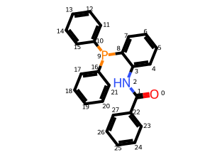 O=C(Nc1ccccc1P(c1ccccc1)c1ccccc1)c1ccccc1